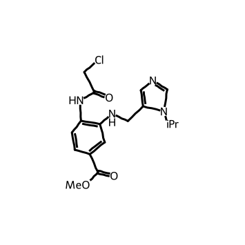 COC(=O)c1ccc(NC(=O)CCl)c(NCc2cncn2C(C)C)c1